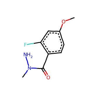 COc1ccc(C(=O)N(C)N)c(F)c1